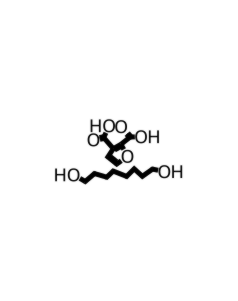 O=C(O)c1ccoc1C(=O)O.OCCCCCCCCO